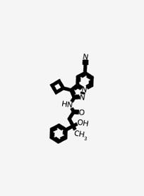 CC(O)(CC(=O)Nc1nn2ccc(C#N)cc2c1C1CCC1)c1ccccc1